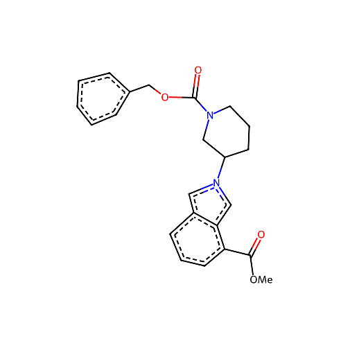 COC(=O)c1cccc2cn(C3CCCN(C(=O)OCc4ccccc4)C3)cc12